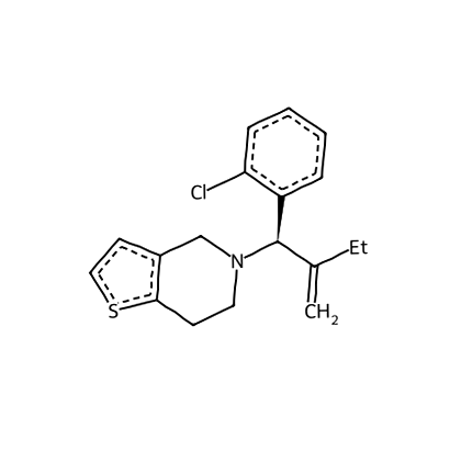 C=C(CC)[C@H](c1ccccc1Cl)N1CCc2sccc2C1